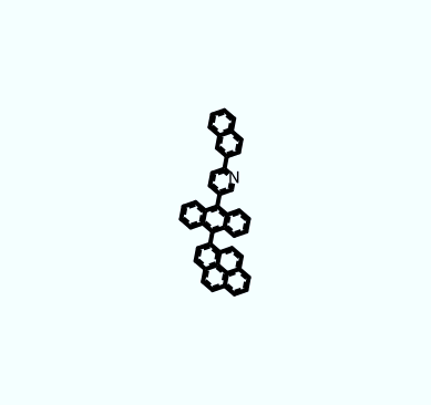 c1ccc2cc(-c3ccc(-c4c5ccccc5c(-c5ccc6ccc7cccc8ccc5c6c78)c5ccccc45)cn3)ccc2c1